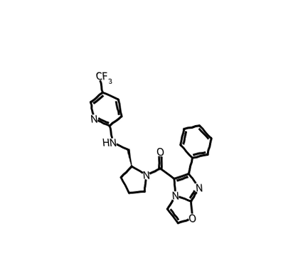 O=C(c1c(-c2ccccc2)nc2occn12)N1CCC[C@H]1CNc1ccc(C(F)(F)F)cn1